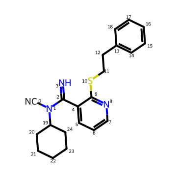 N#CN(C(=N)c1cccnc1SCCc1ccccc1)C1CCCCC1